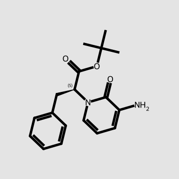 CC(C)(C)OC(=O)[C@H](Cc1ccccc1)n1cccc(N)c1=O